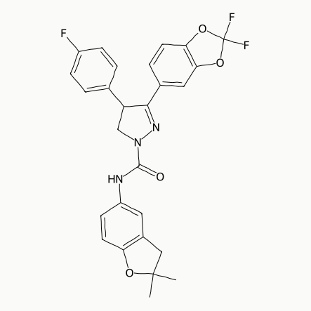 CC1(C)Cc2cc(NC(=O)N3CC(c4ccc(F)cc4)C(c4ccc5c(c4)OC(F)(F)O5)=N3)ccc2O1